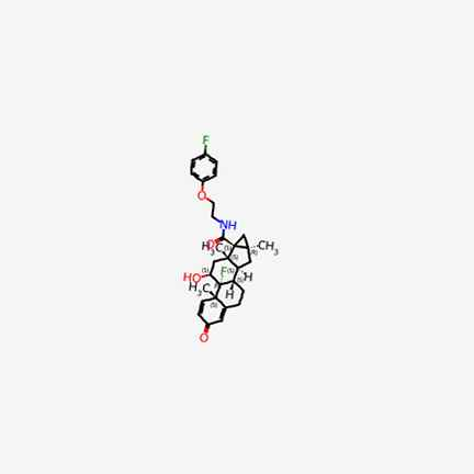 C[C@]12C[C@H]3[C@@H]4CCC5=CC(=O)C=C[C@]5(C)[C@@]4(F)[C@@H](O)C[C@]3(C)[C@]1(C(=O)NCCOc1ccc(F)cc1)C2